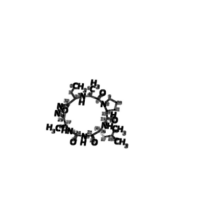 CCC1NC(C)C(=O)N2CCC[C@H]2C(=O)N[C@H](CC(C)C)C(=O)NC(=O)N[C@@H](C)c2nnc1o2